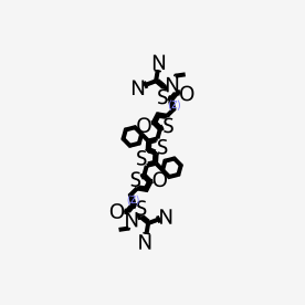 CCn1c(=C(C#N)C#N)s/c(=C\c2cc3c(s2)-c2sc4c5c(sc4c2C2(CCCCC2)O3)-c2sc(/C=c3\sc(=C(C#N)C#N)n(CC)c3=O)cc2OC52CCCCC2)c1=O